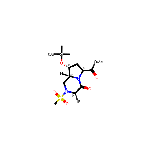 COC(=O)[C@@H]1C[C@@H](O[Si](C)(C)C(C)(C)C)[C@H]2CN(S(C)(=O)=O)[C@H](C(C)C)C(=O)N21